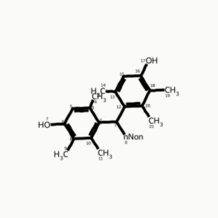 CCCCCCCCCC(c1c(C)cc(O)c(C)c1C)c1c(C)cc(O)c(C)c1C